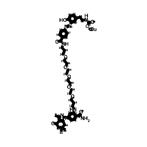 Cc1nn(-c2ccc(C(N)=O)c(NCCCOCCOCCOCCOCCOCCCNC(=O)c3ccc(N=Nc4cc(CCNC(=O)OC(C)(C)C)ccc4O)cc3)c2)c2c1C(=O)CC(C)(C)C2